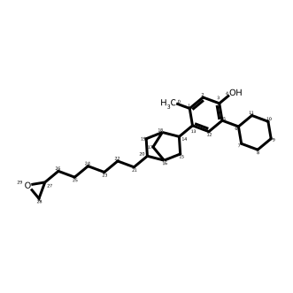 Cc1cc(O)c(C2CCCCC2)cc1C1CC2CC1CC2CCCCCCC1CO1